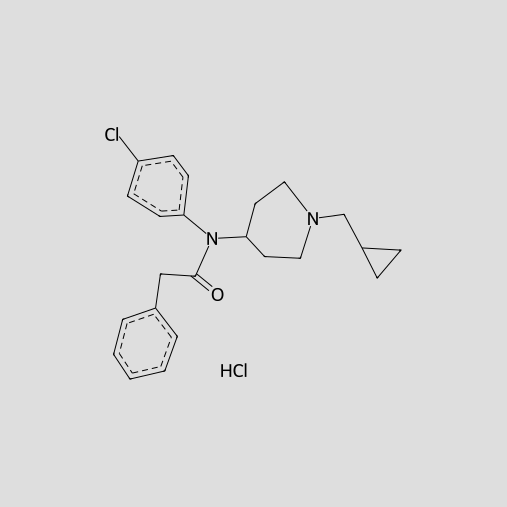 Cl.O=C(Cc1ccccc1)N(c1ccc(Cl)cc1)C1CCN(CC2CC2)CC1